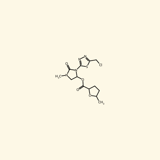 CC1CCC(C(=O)OC2CN(C)C(=O)N2c2nnc(CCl)s2)O1